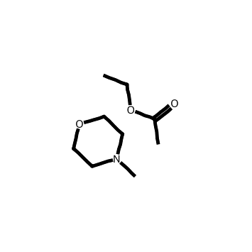 CCOC(C)=O.CN1CCOCC1